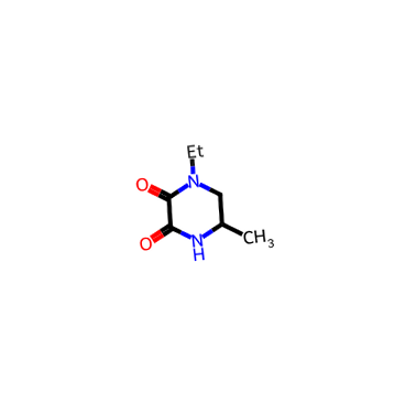 CCN1CC(C)NC(=O)C1=O